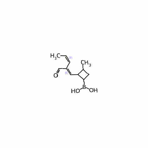 C/C=C\C(C=O)=C/C1C(C)CC1B(O)O